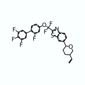 C=CC1CCC(c2ccc3nc(C(F)(F)Oc4ccc(-c5cc(F)c(F)c(F)c5)c(F)c4)sc3c2)OC1